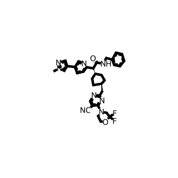 Cn1cc(-c2ccc(C(C(=O)NCc3ccccc3)[C@H]3CC[C@H](Cc4ncc(C#N)c(N5CCOC(F)(F)C5)n4)CC3)nc2)cn1